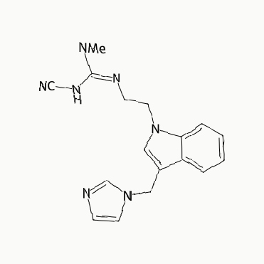 CNC(=NCCn1cc(Cn2ccnc2)c2ccccc21)NC#N